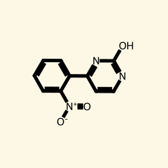 O=[N+]([O-])c1ccccc1-c1ccnc(O)n1